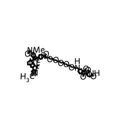 CNC(=O)N1CCc2c(c(N3CCCc4cc(-c5cnn(C)c5)c(C(F)F)cc43)nn2C2CCN(C(=O)CCOCCOCCOCCOCCOCCNc3ccc4c(c3)C(=O)N(C3CCC(=O)NC3=O)C4=O)CC2)C1